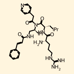 CC(C)C[C@H](NC(=O)[C@@H](N)CCCNC(=N)N)C(=O)N(C(=O)Cc1ccncc1)[C@H](CNC(=O)/C=C/c1ccccc1)C(C)C